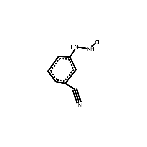 N#Cc1cccc(NNCl)c1